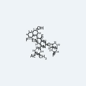 CCc1c(F)ccc2cc(O)cc(-c3ncc4c(N5CCN(C(C)=O)[C@H](C)C5)nc(OC[C@@]56CCCN5C[C@H](F)C6)nc4c3F)c12